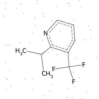 C[C](C)c1ncccc1C(F)(F)F